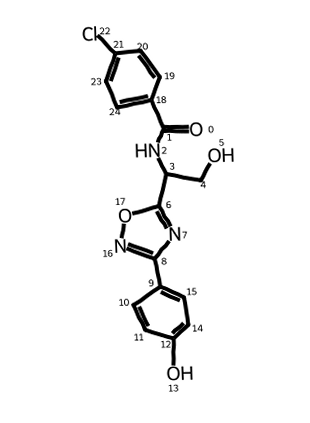 O=C(NC(CO)c1nc(-c2ccc(O)cc2)no1)c1ccc(Cl)cc1